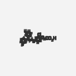 Cc1cccc(C(=CCSc2ccc(OCC(=O)O)c(Cl)c2)c2cccc(C)c2)c1